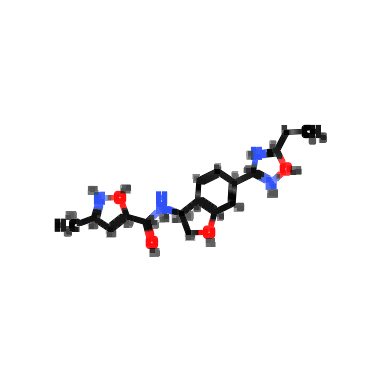 CCc1nc(-c2ccc3c(c2)OC[C@H]3NC(=O)c2cc(C)no2)no1